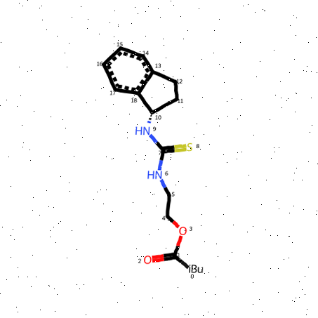 CCC(C)C(=O)OCCNC(=S)N[C@H]1CCc2ccccc21